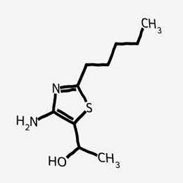 CCCCCc1nc(N)c(C(C)O)s1